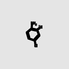 [2H]c1cc(Cl)ccc1N